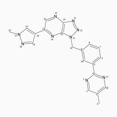 Cc1cnc(-c2cccc(Cn3nnc4ncc(-c5cnn(C)c5)nc43)c2)nc1